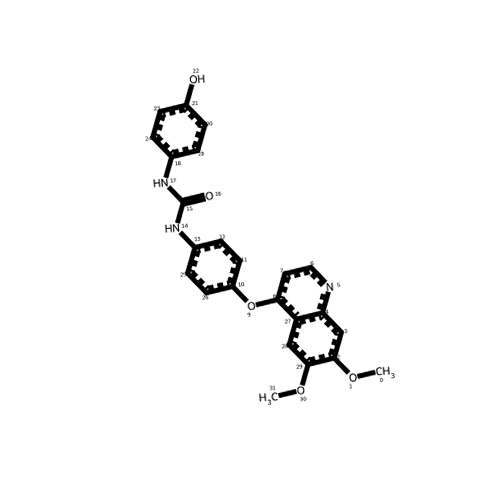 COc1cc2nccc(Oc3ccc(NC(=O)Nc4ccc(O)cc4)cc3)c2cc1OC